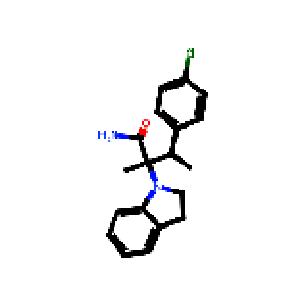 CC(c1ccc(Cl)cc1)C(C)(C(N)=O)N1CCc2ccccc21